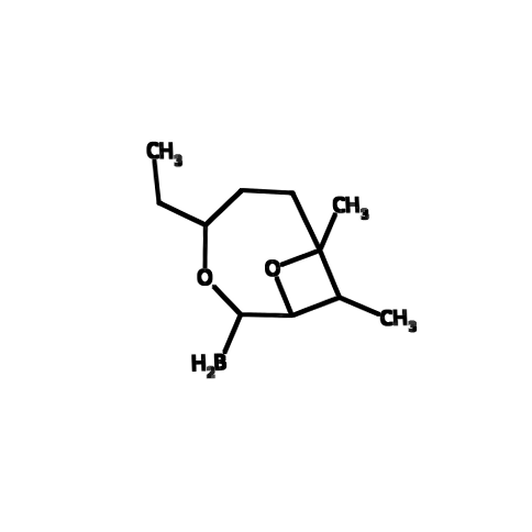 BC1OC(CC)CCC2(C)OC1C2C